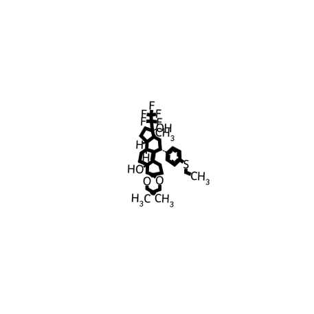 CCSc1ccc([C@H]2C[C@@]3(C)[C@@H](CC[C@@]3(O)C(F)(F)C(F)(F)F)[C@@H]3CC[C@@]4(O)CC5(CCC4=C32)OCC(C)(C)CO5)cc1